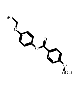 CCCCCCCCOc1ccc(C(=O)Oc2ccc(OCC(C)CC)cc2)cc1